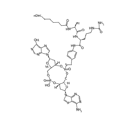 CCCCCCCCCCCCCCCC(=O)N[C@H](C(=O)N[C@@H](CCCNC(N)=O)C(=O)Nc1ccc(CSP2(=O)OC[C@H]3O[C@@H](n4cnc5c(N)ncnc54)C[C@@H]3OP(=O)(O)OC[C@H]3O[C@@H](n4cnc5c(O)ncnc54)C[C@@H]3O2)cc1)C(C)C